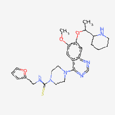 COc1cc2c(N3CCN(C(=S)NCc4ccco4)CC3)ncnc2cc1OC(C)C1CCCCN1